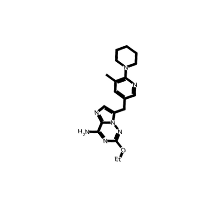 CCOc1nc(N)c2ncc(Cc3cnc(N4CCCCC4)c(C)c3)n2n1